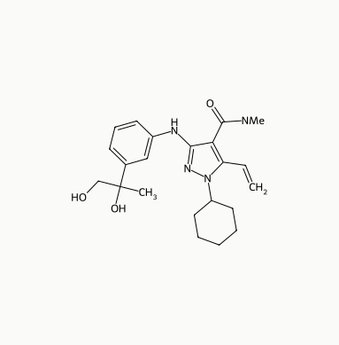 C=Cc1c(C(=O)NC)c(Nc2cccc(C(C)(O)CO)c2)nn1C1CCCCC1